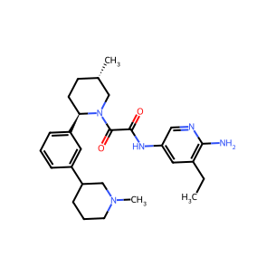 CCc1cc(NC(=O)C(=O)N2C[C@@H](C)CC[C@@H]2c2cccc(C3CCCN(C)C3)c2)cnc1N